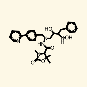 CN1C(=O)OC(C)(C)C1C(=O)NN(Cc1ccc(-c2ccccn2)cc1)CC(O)C(Cc1ccccc1)NO